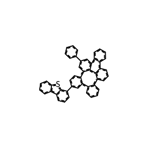 c1ccc(-c2cc3c4ccc(-c5cccc6c5sc5ccccc56)cc4c4ccccc4c4cccc5c6ccccc6c(c2)c3c45)cc1